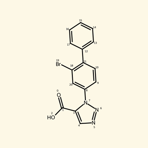 O=C(O)c1cnnn1-c1ccc(-c2ccccc2)c(Br)c1